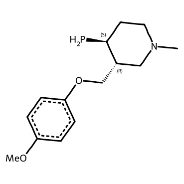 COc1ccc(OC[C@H]2CN(C)CC[C@@H]2P)cc1